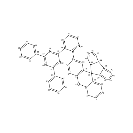 C1=CCC2Oc3ccc(-c4ncccc4-c4nc(-c5ccccc5)nc(-c5ccccc5)n4)cc3C3(C2=C1)c1ccccc1C1C=CC=CC13